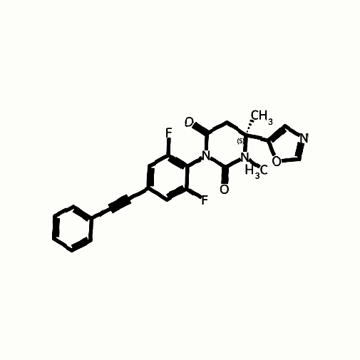 CN1C(=O)N(c2c(F)cc(C#Cc3ccccc3)cc2F)C(=O)C[C@@]1(C)c1cnco1